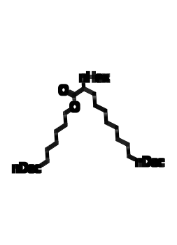 CCCCCCCCCCCCCCCCCCC(CCCCCC)C(=O)OCCCCCCCCCCCCCCCC